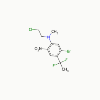 CN(CCCl)c1cc(Br)c(C(C)(F)F)cc1[N+](=O)[O-]